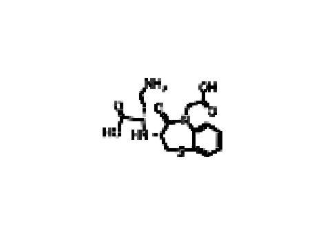 NCC[C@H](N[C@H]1CSc2ccccc2N(CC(=O)O)C1=O)C(=O)O